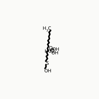 CCCCCCCCCCCCCCCCCSCCCO.O=P(O)(O)O